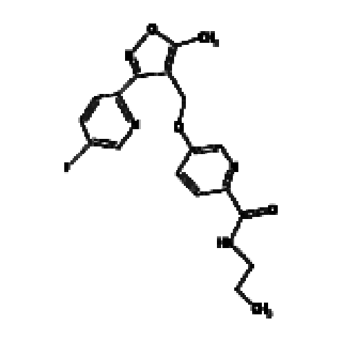 CCCNC(=O)c1ccc(OCc2c(-c3ccc(F)cn3)noc2C)cn1